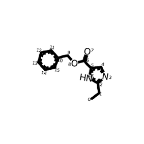 CCc1ncc(C(=O)OCc2ccccc2)[nH]1